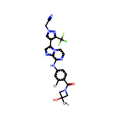 CC1(O)CN(C(=O)c2ccc(Nc3nccn4c(-c5cn(CC#N)nc5C(F)(F)F)cnc34)cc2Cl)C1